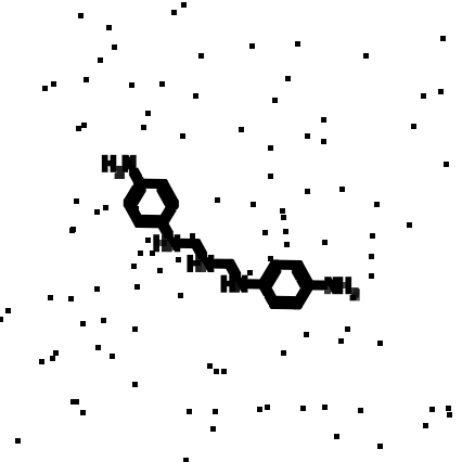 Nc1ccc(NCNCNc2ccc(N)cc2)cc1